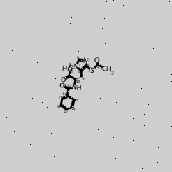 CC(=O)Sc1nc[nH]c1C[C@H](NC(=O)c1ccccc1)C(=O)O